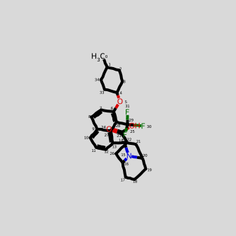 CC1CCC(Oc2ccc3cccc(CN4C5CCCC4CC(C(=O)O)C5)c3c2C(F)(F)F)CC1